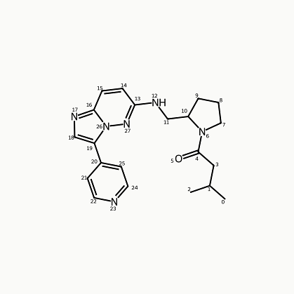 CC(C)CC(=O)N1CCCC1CNc1ccc2ncc(-c3ccncc3)n2n1